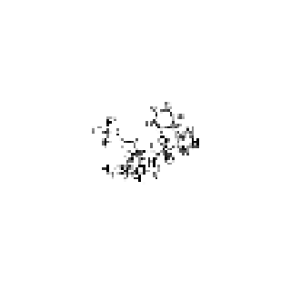 C[C@](CCCC(F)(F)F)(CCS(=O)(=O)c1nnnn1-c1ccccc1)O[Si](C)(C)C